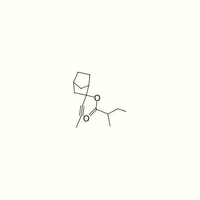 CC#CC1(OC(=O)C(C)CC)CC2CCC1C2